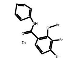 O=C(Nc1ccccc1)c1ccc(Br)c(Br)c1OBr.[Zn]